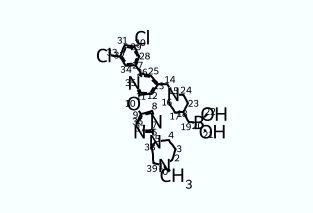 CN1CCCN(c2ncc(Oc3cc(CN4CCC(CB(O)O)CC4)cc(-c4cc(Cl)cc(Cl)c4)n3)cn2)CC1